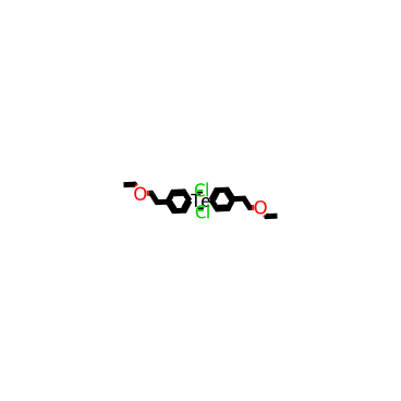 CCOCCc1ccc([Te](Cl)(Cl)c2ccc(CCOCC)cc2)cc1